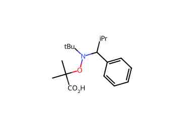 CC(C)C(c1ccccc1)N(OC(C)(C)C(=O)O)C(C)(C)C